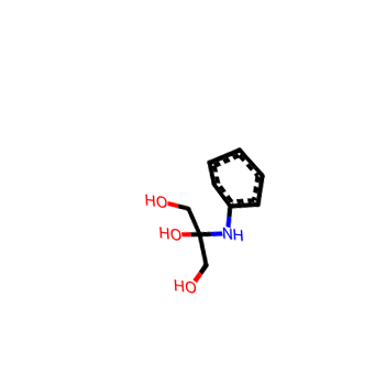 OCC(O)(CO)Nc1ccccc1